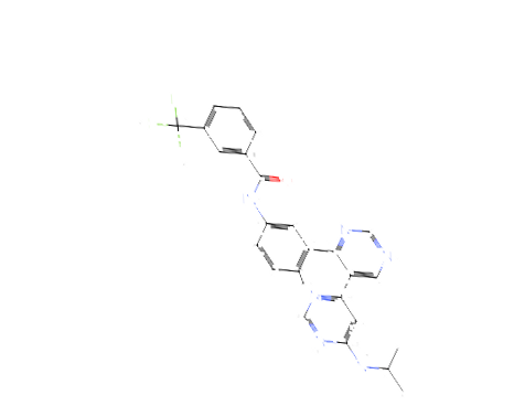 Cc1ccc(NC(=O)c2cccc(C(F)(F)F)c2)cc1-c1ncncc1-c1cc(NC(C)C)ncn1